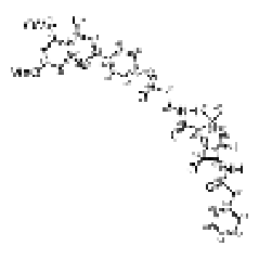 COc1cc(OC)c2c(=O)cc(-c3ccc(OC(=O)CCNC(=O)[C@@H]4N5C(=O)[C@@H](NC(=O)Cc6ccccc6)[C@H]5SC4(C)C)cc3)oc2c1